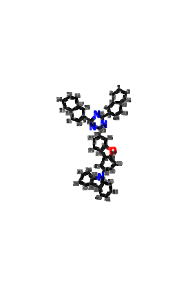 c1ccc2cc(-c3nc(-c4ccc5ccccc5c4)nc(-c4ccc5c(c4)oc4ccc(-n6c7ccccc7c7ccccc76)cc45)n3)ccc2c1